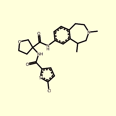 CC1CN(C)CCc2ccc(NC(=O)C3(NC(=O)c4ccc(Cl)s4)CCOC3)cc21